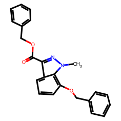 Cn1nc(C(=O)OCc2ccccc2)c2cccc(OCc3ccccc3)c21